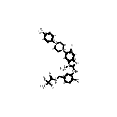 Cn1c(Nc2cc(CNC(=O)C(C)(F)F)ccc2Cl)nc2cc(Cl)c(N3CCN(c4ccc(C(F)(F)F)cc4)CC3)cc21